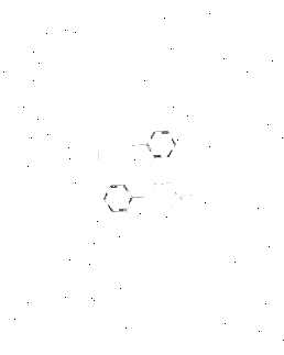 Cc1ccccc1OC(CN(C)C)Oc1ccccc1C.Cl